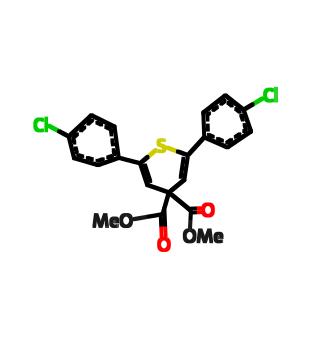 COC(=O)C1(C(=O)OC)C=C(c2ccc(Cl)cc2)SC(c2ccc(Cl)cc2)=C1